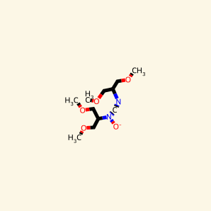 COCC(COC)N=C=[N+]([O-])C(COC)COC